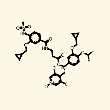 CS(=O)(=O)Nc1ccc(C(=O)NCCC(=O)O[C@@H](Cc2c(Cl)c[n+]([O-])cc2Cl)c2ccc(OC(F)F)c(OCC3CC3)c2)cc1OCC1CC1